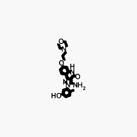 Cc1ccc(O)cc1-n1nc2c(c1N)c(=O)[nH]c1cc(OCCCN3CCOCC3)ccc12